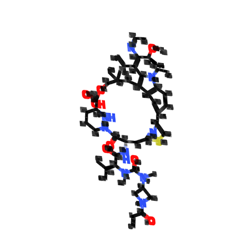 C=CC(=O)N1CC(N(C)C(=O)N(C)[C@H](C(=O)N[C@H]2Cc3nc(cs3)-c3ccc4c(c3)c(c(/C(C=C)=C(/N=C\C)[C@H](C)OC)n4CC)CC(C)(C)COC(=O)[C@@]3(O)CCCN(N3)C2=O)C(C)C)C1